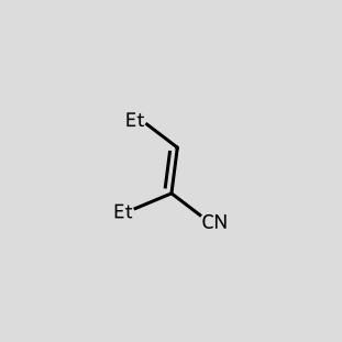 CC/C=C(/C#N)CC